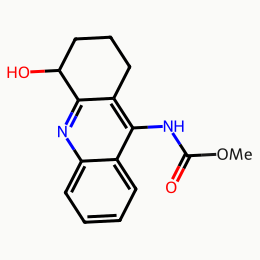 COC(=O)Nc1c2c(nc3ccccc13)C(O)CCC2